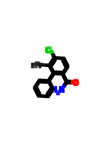 CCCc1c(Cl)ccc(C(N)=O)c1-c1ccccc1